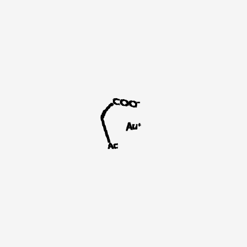 CC(=O)CC(=O)[O-].[Au+]